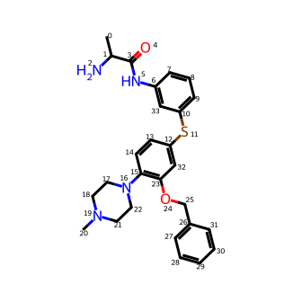 CC(N)C(=O)Nc1cccc(Sc2ccc(N3CCN(C)CC3)c(OCc3ccccc3)c2)c1